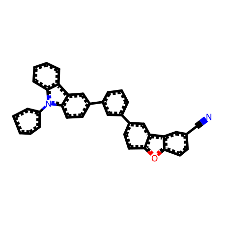 N#Cc1ccc2oc3ccc(-c4cccc(-c5ccc6c(c5)c5ccccc5n6-c5ccccc5)c4)cc3c2c1